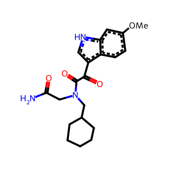 COc1ccc2c(C(=O)C(=O)N(CC(N)=O)CC3CCCCC3)c[nH]c2c1